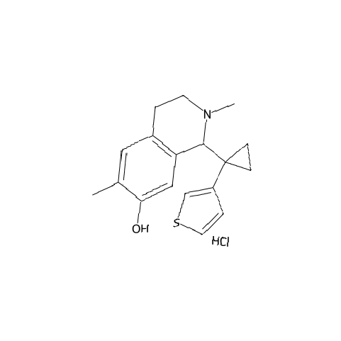 Cc1cc2c(cc1O)C(C1(c3ccsc3)CC1)N(C)CC2.Cl